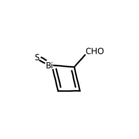 O=C[C]1=C[CH]=[Bi]1=[S]